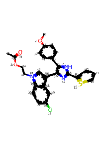 COc1ccc(-c2[nH]c(-c3cccs3)nc2-c2cn(CCOC(C)=O)c3ccc(Cl)cc23)cc1